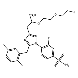 Cc1ccc(C)c(Cc2nc(CC(OCCOCCI)C(=O)O)nn2-c2ccc(S(N)(=O)=O)cc2F)c1